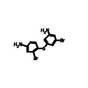 Nc1cc(Br)cc(Sc2ccc(N)cc2Br)c1